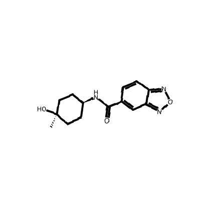 C[C@]1(O)CC[C@@H](NC(=O)c2ccc3nonc3c2)CC1